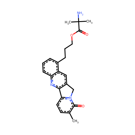 Cc1ccc2n(c1=O)Cc1cc3c(CCCOC(=O)C(C)(C)N)cccc3nc1-2